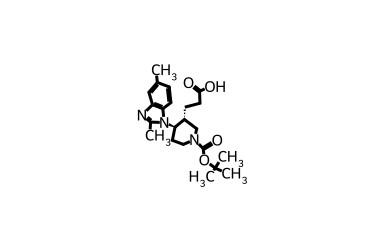 Cc1ccc2c(c1)nc(C)n2[C@@H]1CCN(C(=O)OC(C)(C)C)C[C@H]1CCC(=O)O